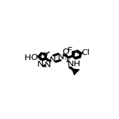 C[C@@H]1C[C@@H](O)c2ncnc(N3CCN(C(=O)[C@H](CNCC4CC4)c4ccc(Cl)cc4F)CC3)c21